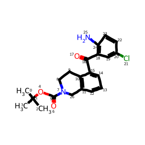 CC(C)(C)OC(=O)N1CCc2c(cccc2C(=O)c2cc(Cl)ccc2N)C1